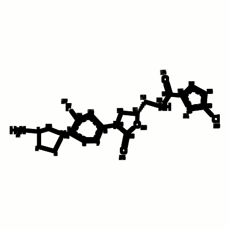 NC1CCN(c2ccc(N3C[C@H](CNC(=O)c4ccc(Cl)s4)OC3=O)cc2F)C1